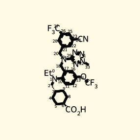 CCN(C[C@H]1CC[C@H](C(=O)O)CC1)c1ccc(OC(F)(F)F)cc1CN(Cc1cc(C#N)cc(C(F)(F)F)c1)c1nnn(C)n1